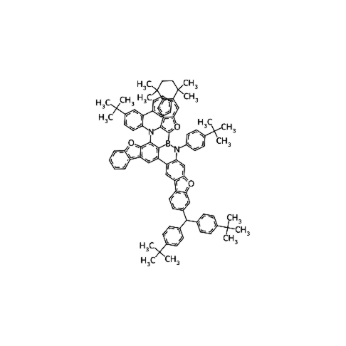 CC(C)(C)c1ccc(C(c2ccc(C(C)(C)C)cc2)c2ccc3c(c2)oc2cc4c(cc23)-c2cc3c(oc5ccccc53)c3c2B(c2oc5cc6c(cc5c2N3c2ccc(C(C)(C)C)cc2-c2ccccc2)C(C)(C)CCC6(C)C)N4c2ccc(C(C)(C)C)cc2)cc1